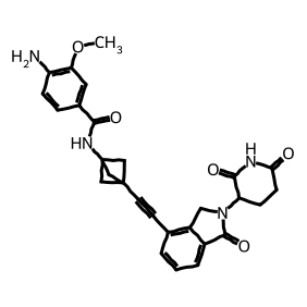 COc1cc(C(=O)NC23CC(C#Cc4cccc5c4CN(C4CCC(=O)NC4=O)C5=O)(C2)C3)ccc1N